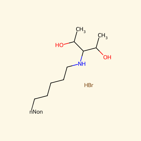 Br.CCCCCCCCCCCCCCNC(C(C)O)C(C)O